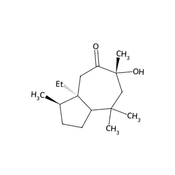 CC[C@]12CC(=O)[C@](C)(O)CC(C)(C)C1CC[C@H]2C